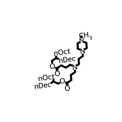 CCCCCCCCCCC(CCCCCCCC)COC(=O)CCCN(CCCC(=O)OCC(CCCCCCCC)CCCCCCCCCC)CCCN1CCN(C)CC1